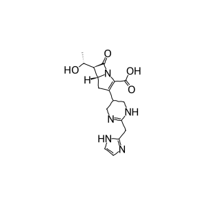 C[C@@H](O)[C@H]1C(=O)N2C(C(=O)O)=C(C3CN=C(Cc4ncc[nH]4)NC3)C[C@H]12